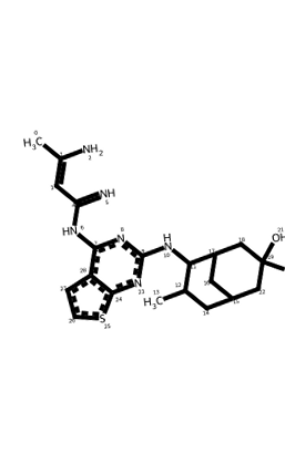 C/C(N)=C/C(=N)Nc1nc(NC2C(C)CC3CC2CC(C)(O)C3)nc2sccc12